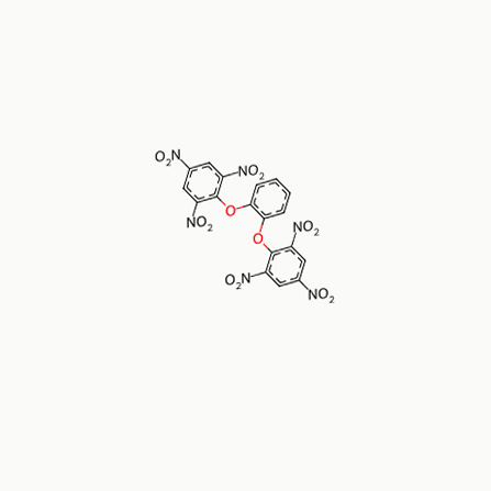 O=[N+]([O-])c1cc([N+](=O)[O-])c(Oc2ccccc2Oc2c([N+](=O)[O-])cc([N+](=O)[O-])cc2[N+](=O)[O-])c([N+](=O)[O-])c1